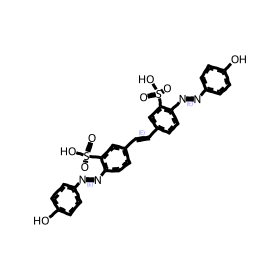 O=S(=O)(O)c1cc(/C=C/c2ccc(/N=N/c3ccc(O)cc3)c(S(=O)(=O)O)c2)ccc1/N=N/c1ccc(O)cc1